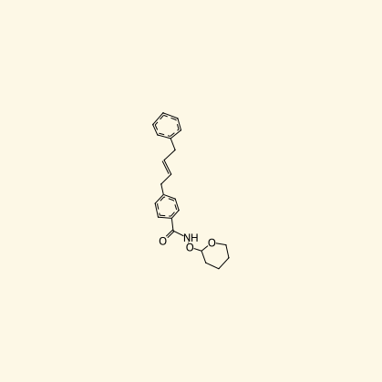 O=C(NOC1CCCCO1)c1ccc(CC=CCc2ccccc2)cc1